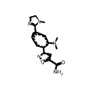 CN1CCN=C1c1ccc(-c2cc(C(N)=O)on2)c(N(C)C)c1